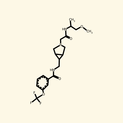 COCC(C)NC(=O)CN1CC2C(CNC(=O)c3cccc(OC(F)(F)F)c3)C2C1